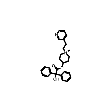 C[N+]1(CCc2cccnc2)CCC(OC(=O)C(O)(c2ccccc2)c2ccccc2)CC1